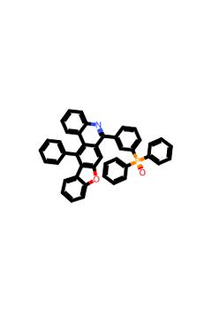 O=P(c1ccccc1)(c1ccccc1)c1cccc(-c2nc3ccccc3c3c(-c4ccccc4)c4c(cc23)oc2ccccc24)c1